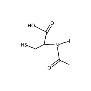 CC(=O)N(I)C(CS)C(=O)O